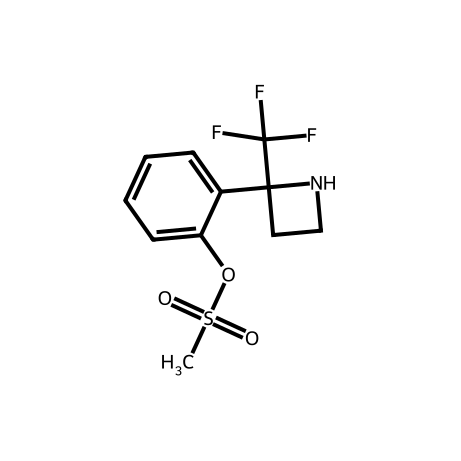 CS(=O)(=O)Oc1ccccc1C1(C(F)(F)F)CCN1